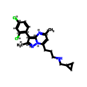 Cc1cc(CCCNCC2CC2)n2nc(C)c(-c3ccc(Cl)cc3Cl)c2n1